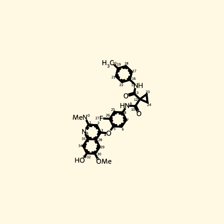 CNc1cc(Oc2ccc(NC(=O)C3(C(=O)Nc4ccc(C)cc4)CC3)cc2F)c2cc(OC)c(O)cc2n1